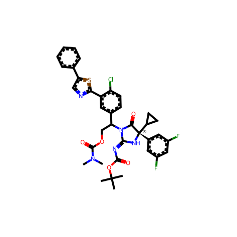 CN(C)C(=O)OCC(c1ccc(Cl)c(-c2ncc(-c3ccccc3)s2)c1)N1C(=O)[C@](c2cc(F)cc(F)c2)(C2CC2)NC1=NC(=O)OC(C)(C)C